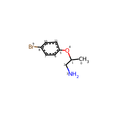 CC(CN)Oc1ccc(Br)cc1